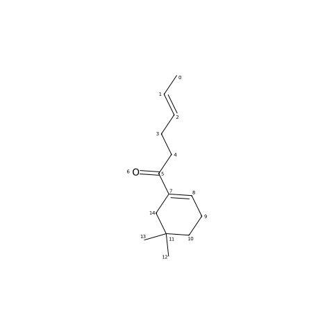 CC=CCCC(=O)C1=CCCC(C)(C)C1